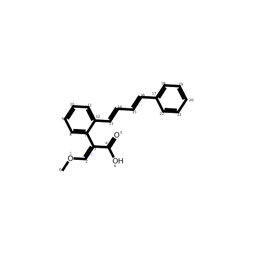 CO/C=C(/C(=O)O)c1ccccc1C=C/C=C/c1ccccc1